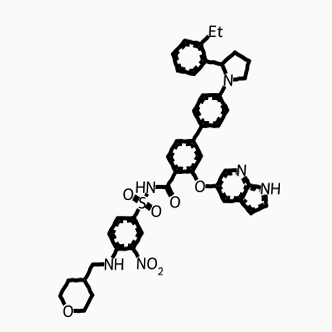 CCc1ccccc1C1CCCN1c1ccc(-c2ccc(C(=O)NS(=O)(=O)c3ccc(NCC4CCOCC4)c([N+](=O)[O-])c3)c(Oc3cnc4[nH]ccc4c3)c2)cc1